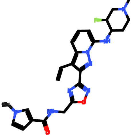 C=Cc1c(-c2noc(CNC(=O)c3ccn(C(C)(C)C)c3)n2)nn2c(N[C@@H]3CCN(C)C[C@@H]3F)cccc12